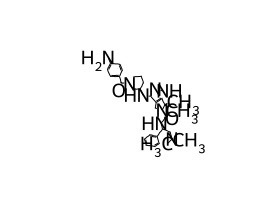 CN(C)CC(NC(=O)N1Cc2c(NC3CCCN(C(=O)c4ccc(N)cc4)C3)n[nH]c2C1(C)C)c1ccccc1